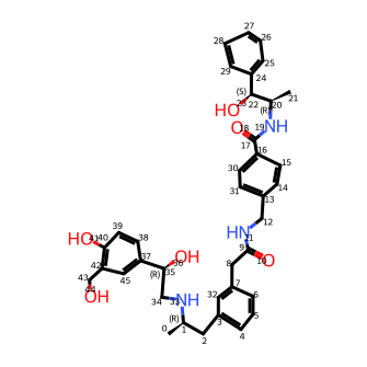 C[C@H](Cc1cccc(CC(=O)NCc2ccc(C(=O)N[C@H](C)[C@@H](O)c3ccccc3)cc2)c1)NC[C@H](O)c1ccc(O)c(CO)c1